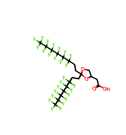 O=C(O)CC1COC(CCC(F)(F)C(F)(F)C(F)(F)C(F)(F)C(F)(F)C(F)(F)F)(CCC(F)(F)C(F)(F)C(F)(F)C(F)(F)C(F)(F)C(F)(F)F)O1